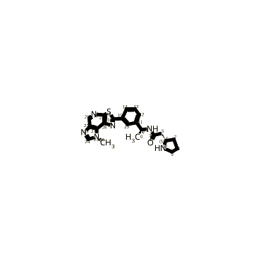 C[C@H](NC(=O)C[C@@H]1CCCN1)c1cccc(-c2nc3c(ncc4ncn(C)c43)s2)c1